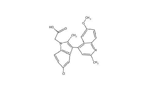 COc1ccc2nc(C)cc(-c3c(C)n(CC(=O)O)c4ccc(Cl)cc34)c2c1